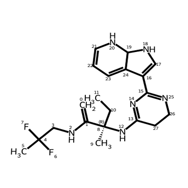 C=C(NCC(C)(F)F)[C@@](C)(CC)NC1=NC(C2=CNC3NC=CC=C23)=NCC1